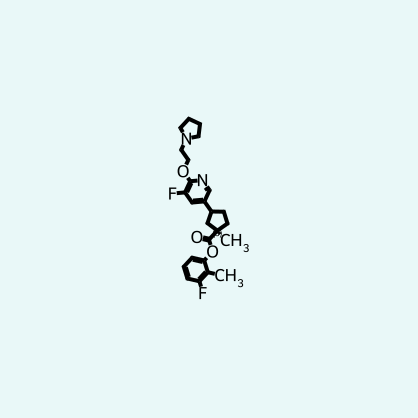 Cc1c(F)cccc1OC(=O)[C@@]1(C)CCC(c2cnc(OCCN3CCCC3)c(F)c2)C1